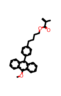 C=C(C)C(=O)OCCCCc1ccc(-c2c3ccccc3c(OC)c3ccccc23)cc1